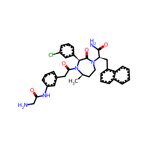 C[C@@H]1CCN([C@H](Cc2cccc3ccccc23)C(N)=O)C(=O)[C@H](c2cccc(Cl)c2)N1C(=O)Cc1cccc(NC(=O)CN)c1